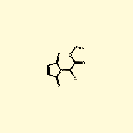 CCCCCOC(=O)C(CC)N1C(=O)C=CC1=O